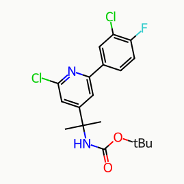 CC(C)(C)OC(=O)NC(C)(C)c1cc(Cl)nc(-c2ccc(F)c(Cl)c2)c1